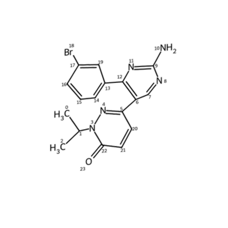 CC(C)n1nc(-c2cnc(N)nc2-c2cccc(Br)c2)ccc1=O